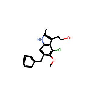 COc1c(Cc2ccccc2)cc2[nH]c(C)c(CCO)c2c1Cl